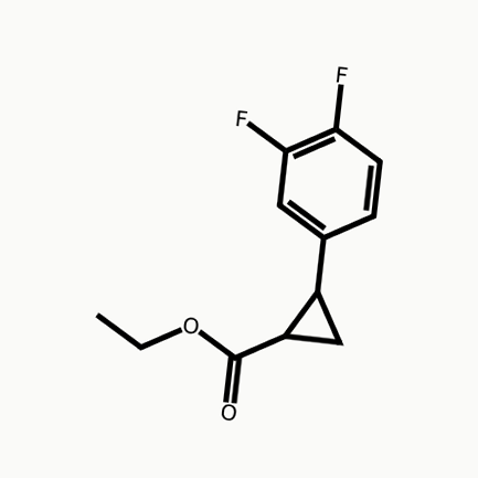 CCOC(=O)C1CC1c1ccc(F)c(F)c1